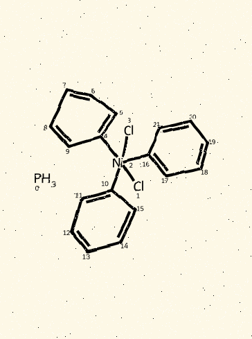 P.[Cl][Ni]([Cl])([c]1ccccc1)([c]1ccccc1)[c]1ccccc1